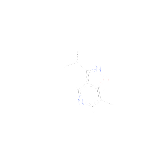 Cc1cncc2c(C(C)C)noc12